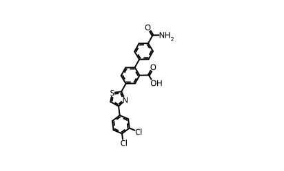 NC(=O)c1ccc(-c2ccc(-c3nc(-c4ccc(Cl)c(Cl)c4)cs3)cc2C(=O)O)cc1